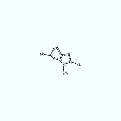 Cn1c(Cl)nc2ccc(C#N)cc21